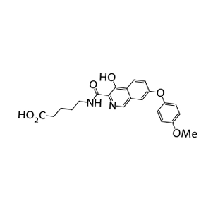 COc1ccc(Oc2ccc3c(O)c(C(=O)NCCCCC(=O)O)ncc3c2)cc1